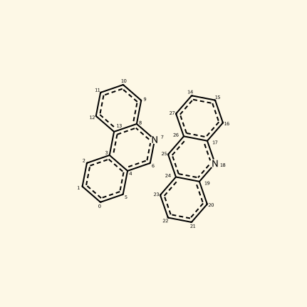 c1ccc2c(c1)cnc1ccccc12.c1ccc2nc3ccccc3cc2c1